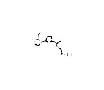 CCc1nccn1-c1ccc(C(=O)CCC(=O)O)s1